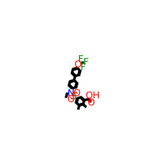 CCN(c1ccc(-c2ccc(OC(F)(F)F)cc2)cc1)S(=O)(=O)c1cc(C)c(C)c(C(=O)O)c1